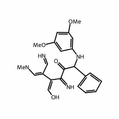 CN/C=C(C=N)/C(=C/O)C(=N)C(=O)C(Nc1cc(OC)cc(OC)c1)c1ccccc1